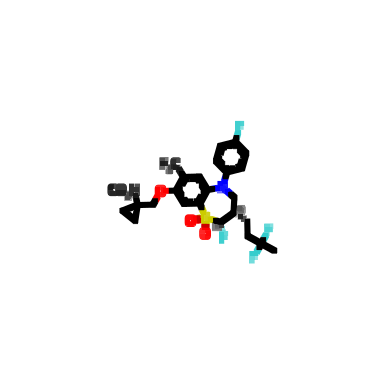 CC(F)(F)CC[C@H]1CN(c2ccc(F)cc2)c2cc(C(F)(F)F)c(OCC3(C(=O)O)CC3)cc2S(=O)(=O)[C@H]1F